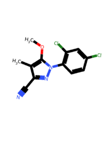 COc1c(C)c(C#N)nn1-c1ccc(Cl)cc1Cl